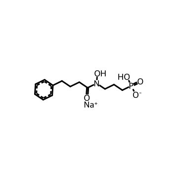 O=C(CCCc1ccccc1)N(O)CCCP(=O)([O-])O.[Na+]